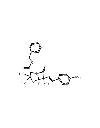 CC1(C)S[C@H]2N(C(=O)[C@@]2(C)/N=C/c2ccc([N+](=O)[O-])cc2)[C@H]1C(=O)OCc1ccccc1